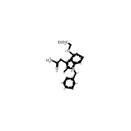 CCOC(=O)COc1cccc2c1c(CC(N)=O)c(C)n2Cc1ccccc1